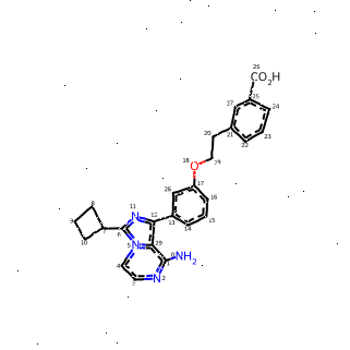 Nc1nccn2c(C3CCC3)nc(-c3cccc(OCCc4cccc(C(=O)O)c4)c3)c12